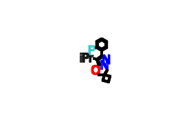 CC(C)c1c(-c2ccccc2F)nn2c1OCC1(CCC1)C2